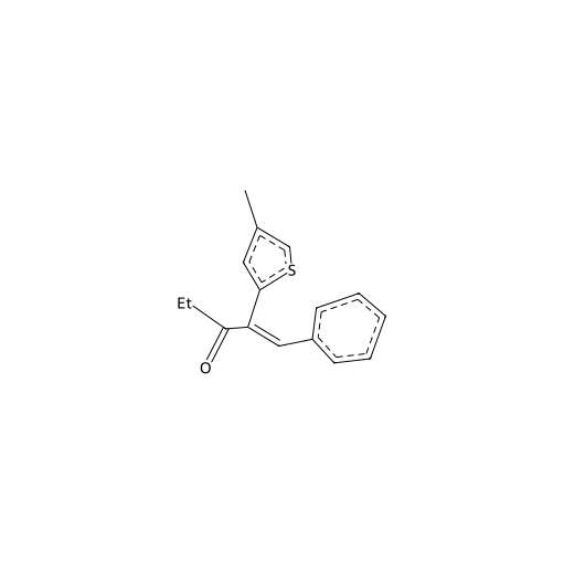 CCC(=O)C(=Cc1ccccc1)c1cc(C)cs1